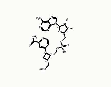 COC[C@H]1C[C@@H](c2ccnc(C(N)=O)c2)[C@@H]1COP(=O)(S)OC[C@H]1O[C@@H](n2cnc3c(N)ncnc32)[C@H](F)[C@@H]1C